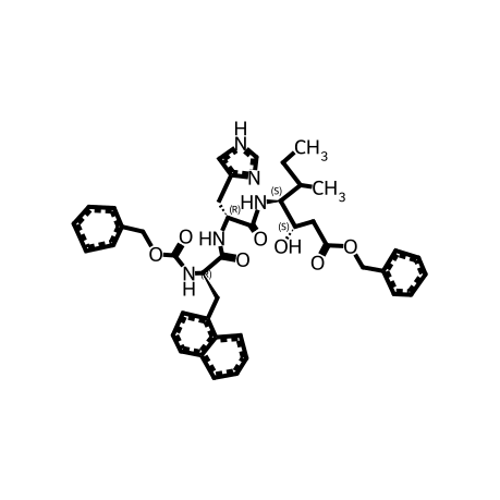 CCC(C)[C@H](NC(=O)[C@@H](Cc1c[nH]cn1)NC(=O)[C@@H](Cc1cccc2ccccc12)NC(=O)OCc1ccccc1)[C@@H](O)CC(=O)OCc1ccccc1